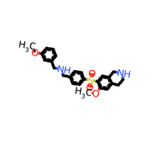 COc1cccc(CNCc2ccc(S(=O)(=O)c3cc4c(cc3OC)CCNC4)cc2)c1